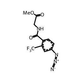 COC(=O)CNC(=O)c1ccc(N=[N+]=[N-])cc1C(F)(F)F